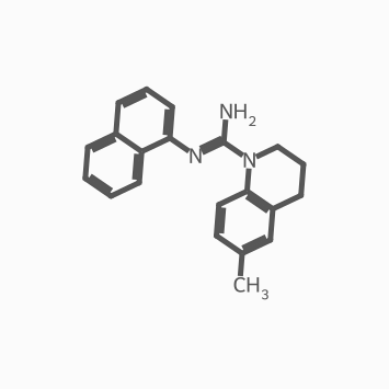 Cc1ccc2c(c1)CCCN2C(N)=Nc1cccc2ccccc12